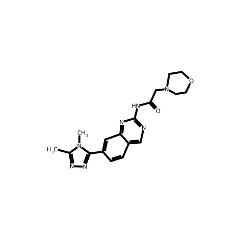 Cc1nnc(-c2ccc3cnc(NC(=O)CN4CCOCC4)nc3c2)n1C